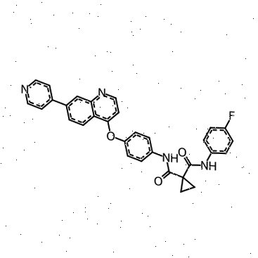 O=C(Nc1ccc(F)cc1)C1(C(=O)Nc2ccc(Oc3ccnc4cc(-c5ccncc5)ccc34)cc2)CC1